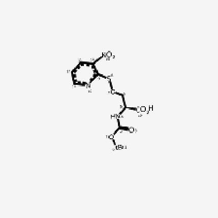 CC(C)(C)OC(=O)N[C@@H](COSc1ncccc1[N+](=O)[O-])C(=O)O